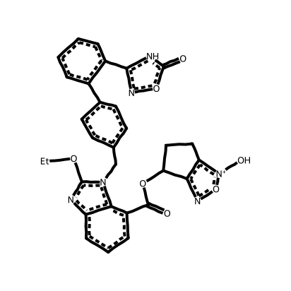 CCOc1nc2cccc(C(=O)OC3CCc4c3no[n+]4O)c2n1Cc1ccc(-c2ccccc2-c2noc(=O)[nH]2)cc1